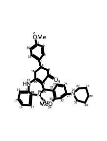 COc1ccc(C2CC(=O)C3=C(C2)Nc2ccccc2N(C(C)=O)C3c2ccc(N3CCCCC3)cc2OC)cc1